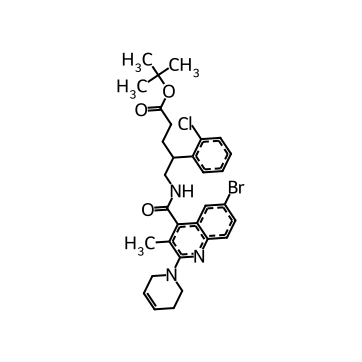 Cc1c(N2CC=CCC2)nc2ccc(Br)cc2c1C(=O)NCC(CCC(=O)OC(C)(C)C)c1ccccc1Cl